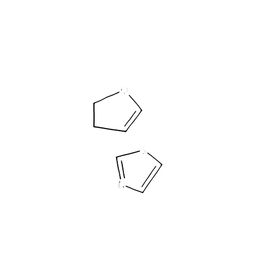 C1=COCC1.c1cscn1